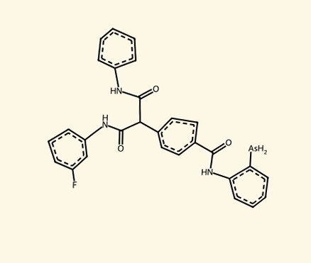 O=C(Nc1ccccc1[AsH2])c1ccc(C(C(=O)Nc2ccccc2)C(=O)Nc2cccc(F)c2)cc1